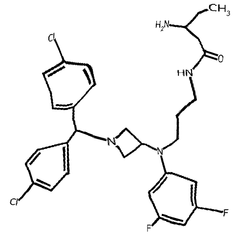 CC(N)C(=O)NCCCN(c1cc(F)cc(F)c1)C1CN(C(c2ccc(Cl)cc2)c2ccc(Cl)cc2)C1